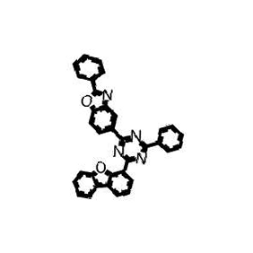 c1ccc(-c2nc(-c3ccc4oc(-c5ccccc5)nc4c3)nc(-c3cccc4c3oc3ccccc34)n2)cc1